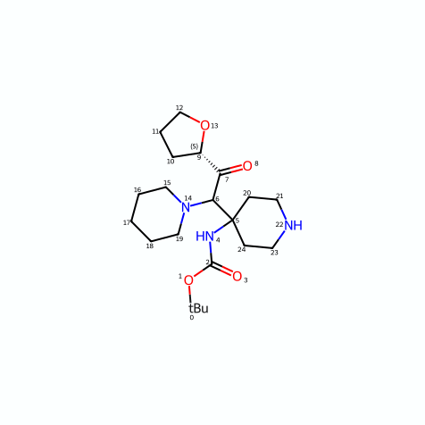 CC(C)(C)OC(=O)NC1(C(C(=O)[C@@H]2CCCO2)N2CCCCC2)CCNCC1